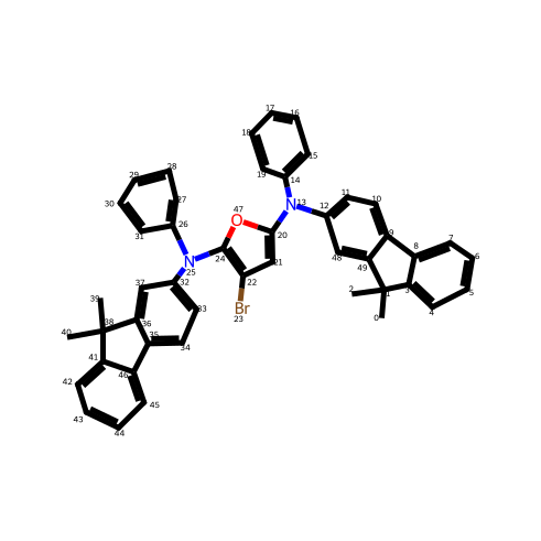 CC1(C)c2ccccc2-c2ccc(N(c3ccccc3)c3cc(Br)c(N(c4ccccc4)c4ccc5c(c4)C(C)(C)c4ccccc4-5)o3)cc21